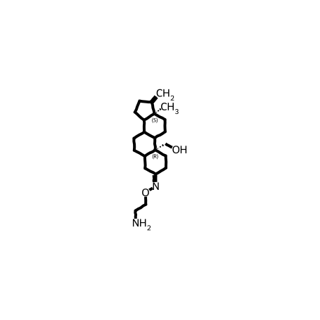 C=C1CCC2C3CCC4CC(=NOCCN)CC[C@]4(CO)C3CC[C@]12C